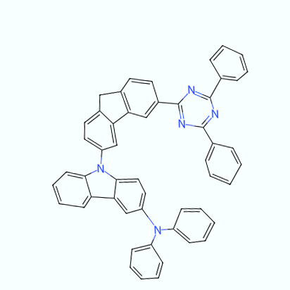 c1ccc(-c2nc(-c3ccccc3)nc(-c3ccc4c(c3)-c3cc(-n5c6ccccc6c6cc(N(c7ccccc7)c7ccccc7)ccc65)ccc3C4)n2)cc1